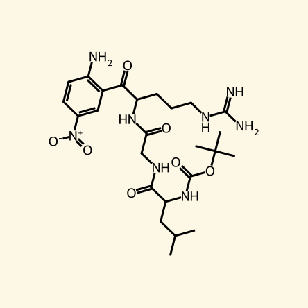 CC(C)CC(NC(=O)OC(C)(C)C)C(=O)NCC(=O)NC(CCCNC(=N)N)C(=O)c1cc([N+](=O)[O-])ccc1N